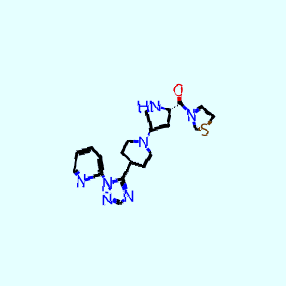 O=C([C@@H]1C[C@H](N2CCC(c3ncnn3-c3ccccn3)CC2)CN1)N1CCSC1